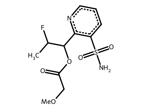 COCC(=O)OC(c1ncccc1S(N)(=O)=O)C(C)F